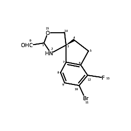 O=CC1N[C@]2(CCc3c2ccc(Br)c3F)CO1